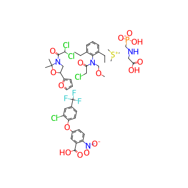 CC1(C)OC(c2ccco2)CN1C(=O)C(Cl)Cl.CCc1cccc(CC)c1N(COC)C(=O)CCl.C[S+](C)C.O=C(O)CNCP(=O)([O-])O.O=C(O)c1cc(Oc2ccc(C(F)(F)F)cc2Cl)ccc1[N+](=O)[O-]